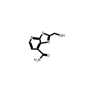 NC(=O)c1[c]cnc2sc(CO)nc12